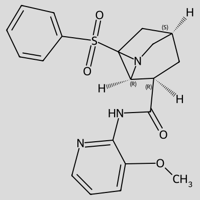 COc1cccnc1NC(=O)[C@@H]1C[C@@H]2CC[C@H]1N(S(=O)(=O)c1ccccc1)C2